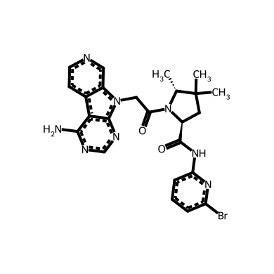 C[C@H]1N(C(=O)Cn2c3cnccc3c3c(N)ncnc32)[C@H](C(=O)Nc2cccc(Br)n2)CC1(C)C